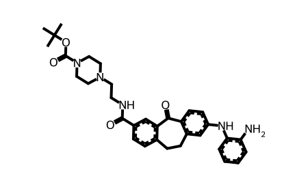 CC(C)(C)OC(=O)N1CCN(CCNC(=O)c2ccc3c(c2)C(=O)c2ccc(Nc4ccccc4N)cc2CC3)CC1